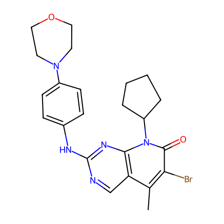 Cc1c(Br)c(=O)n(C2CCCC2)c2nc(Nc3ccc(N4CCOCC4)cc3)ncc12